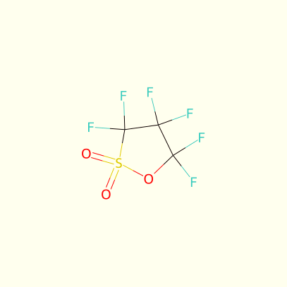 O=S1(=O)OC(F)(F)C(F)(F)C1(F)F